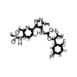 Cc1nc(-c2nnn(C)c2NC(=O)OC(c2cc(F)ccc2F)C(F)F)ccc1NS(C)(=O)=O